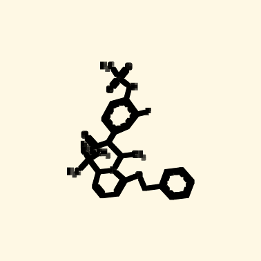 CC(C(C(N)=O)c1ccc(NS(C)(=O)=O)c(F)c1)N1C(OCc2ccccc2)=CC=CC1C(C)(C)C